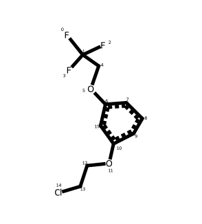 FC(F)(F)COc1c[c]cc(OCCCl)c1